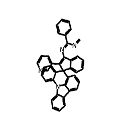 C=N/C(=N\C1=C(c2cccnc2)C2(c3ccccc31)c1ccccc1-n1c3ccccc3c3cccc2c31)c1ccccc1